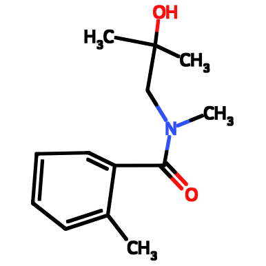 Cc1ccccc1C(=O)N(C)CC(C)(C)O